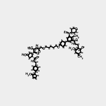 CCN(c1cc(-c2ccc(OCCCCCOCC(=O)NC(C(=O)N3C[C@H](O)C[C@H]3C(=O)NCc3ccc(C4=C(C)C=CC4)cc3)C(C)(C)C)cc2)cc(C(=O)NCC2=C(C)C=C(C)CC2=O)c1C)C1CCOCC1